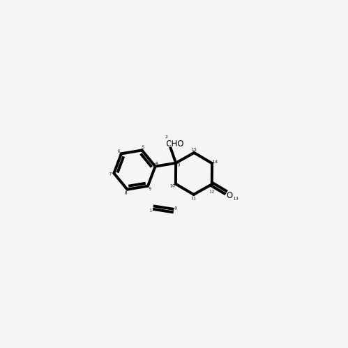 C=C.O=CC1(c2ccccc2)CCC(=O)CC1